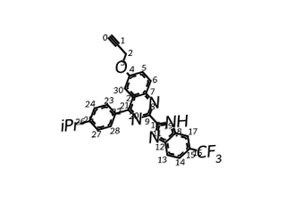 C#CCOc1ccc2nc(-c3nc4ccc(C(F)(F)F)cc4[nH]3)nc(-c3ccc(C(C)C)cc3)c2c1